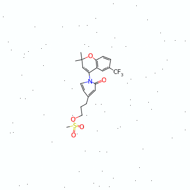 CC1(C)C=C(n2ccc(CCCOS(C)(=O)=O)cc2=O)c2cc(C(F)(F)F)ccc2O1